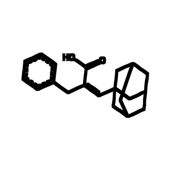 O=C(O)C(=CC12CC3CC(CC(C3)C1)C2)Cc1ccccc1